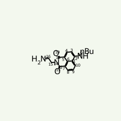 CCCCNc1ccc2c3c(cccc13)C(=O)N(CCN)C2=O